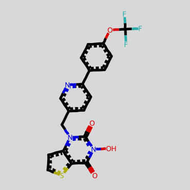 O=c1c2sccc2n(Cc2ccc(-c3ccc(OC(F)(F)F)cc3)nc2)c(=O)n1O